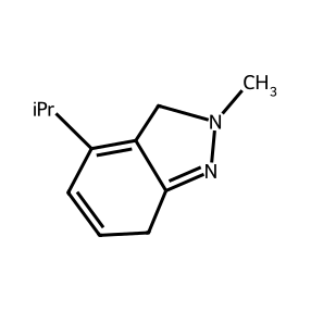 CC(C)C1=C2CN(C)N=C2CC=C1